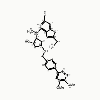 COc1cc(-c2ccc(CN[C@H]3C[C@@H](O)[C@@H](N(C)c4nc(Cl)nc5sc(CC(F)(F)F)cc45)C3)cc2)nnc1OC